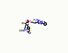 Cc1ccccc1-c1cn2cc(C#CCCCOc3cc(C(C(C)C)C(CCCNC=O)C(C)c4ccc(-c5scnc5C)cc4)on3)c(N)nc2n1